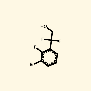 OCC(F)(F)c1cccc(Br)c1F